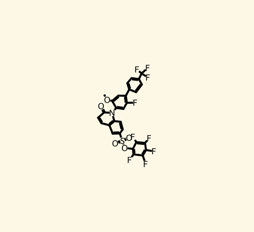 COc1cc(-c2ccc(C(F)(F)F)cc2)c(F)cc1-n1c(=O)ccc2cc(S(=O)(=O)Oc3c(F)c(F)c(F)c(F)c3F)ccc21